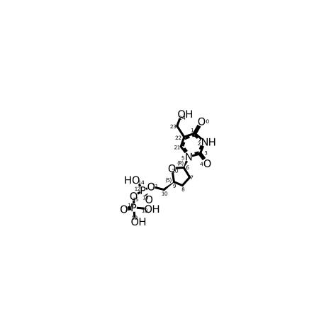 O=c1[nH]c(=O)n([C@H]2CC[C@@H](COP(=O)(O)OP(=O)(O)O)O2)cc1CO